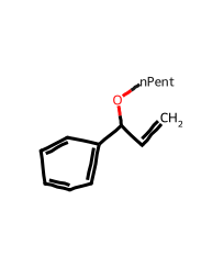 C=CC(OCCCCC)c1ccccc1